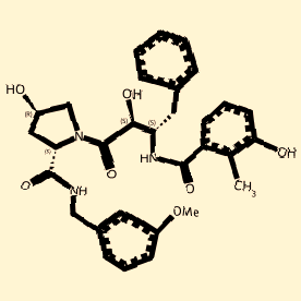 COc1cccc(CNC(=O)[C@@H]2C[C@@H](O)CN2C(=O)[C@@H](O)[C@H](Cc2ccccc2)NC(=O)c2cccc(O)c2C)c1